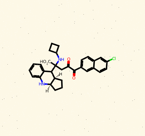 O=C(CC(NC1CCC1)(C(=O)O)C1c2ccccc2N[C@@H]2CCC[C@H]12)C(=O)c1ccc2cc(Cl)ccc2c1